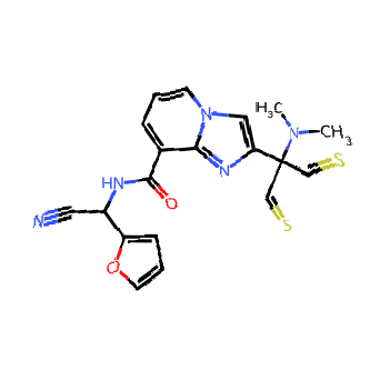 CN(C)C(C=S)(C=S)c1cn2cccc(C(=O)NC(C#N)c3ccco3)c2n1